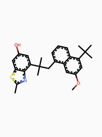 COc1cc(C(C)(C)C)c2cccc(CC(C)(C)c3cc(O)cc4sc(C)nc34)c2c1